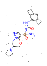 NS(=O)(=NC(=O)Nc1c2c(cc3c1CC3)CC2)c1cnn2c1OCC(N1CCCC1)C2